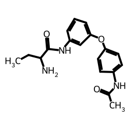 CCC(N)C(=O)Nc1cccc(Oc2ccc(NC(C)=O)cc2)c1